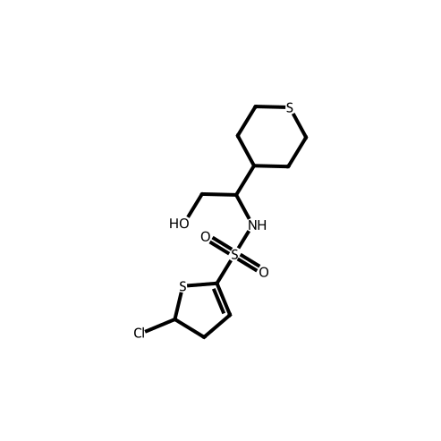 O=S(=O)(NC(CO)C1CCSCC1)C1=CCC(Cl)S1